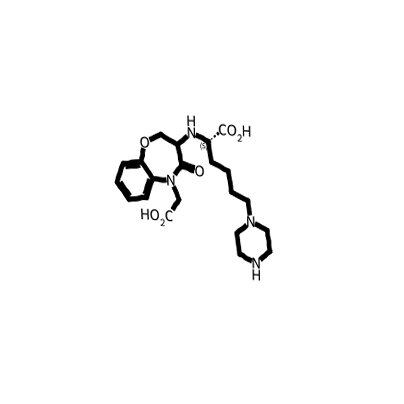 O=C(O)CN1C(=O)C(N[C@@H](CCCCN2CCNCC2)C(=O)O)COc2ccccc21